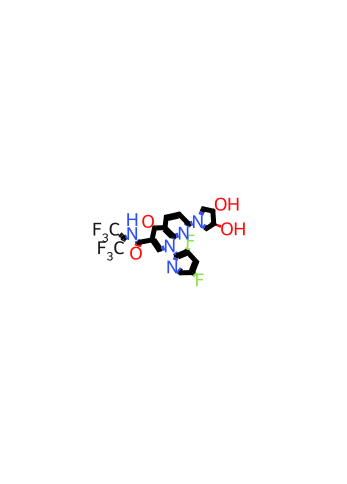 O=C(NC(C(F)(F)F)C(F)(F)F)c1cn(-c2ncc(F)cc2F)c2nc(N3C[C@@H](O)[C@@H](O)C3)ccc2c1=O